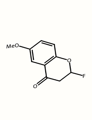 COc1ccc2c(c1)C(=O)CC(F)O2